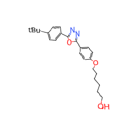 CC(C)(C)c1ccc(-c2nnc(-c3ccc(OCCCCCCO)cc3)o2)cc1